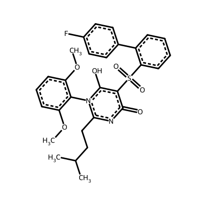 COc1cccc(OC)c1-n1c(CCC(C)C)nc(=O)c(S(=O)(=O)c2ccccc2-c2ccc(F)cc2)c1O